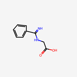 N=C(NCC(=O)O)c1ccccc1